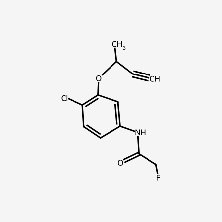 C#CC(C)Oc1cc(NC(=O)CF)ccc1Cl